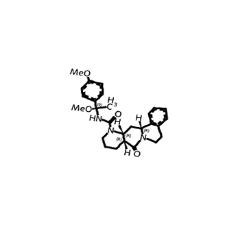 COc1ccc([C@](C)(NC(=O)N2CCC[C@H]3C(=O)N4CCc5ccccc5[C@H]4C[C@H]32)OC)cc1